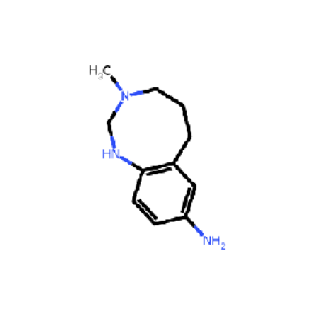 CN1CCCc2cc(N)ccc2NC1